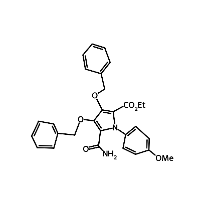 CCOC(=O)c1c(OCc2ccccc2)c(OCc2ccccc2)c(C(N)=O)n1-c1ccc(OC)cc1